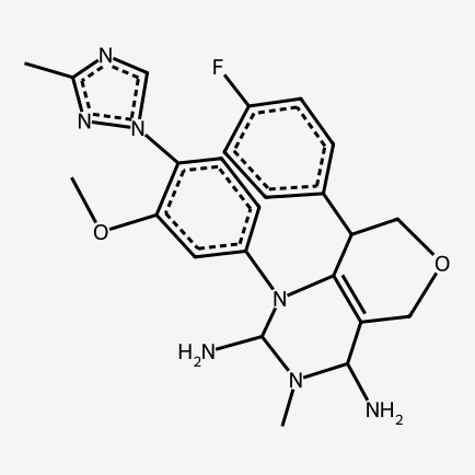 COc1cc(N2C3=C(COCC3c3ccc(F)cc3)C(N)N(C)C2N)ccc1-n1cnc(C)n1